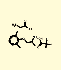 Cc1cccc(C)c1OCC(C)N.NCC(=O)O.O=C(O)C(F)(F)F